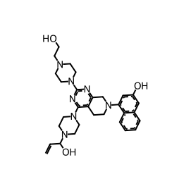 C=CC(O)N1CCN(c2nc(N3CCN(CCO)CC3)nc3c2CCN(c2cc(O)cc4ccccc24)C3)CC1